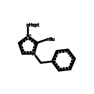 CCCCCCC[n+]1ccn(Cc2ccccc2)c1CCCC